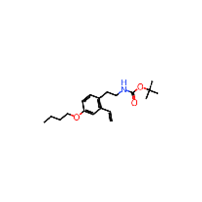 C=Cc1cc(OCCCC)ccc1CCNC(=O)OC(C)(C)C